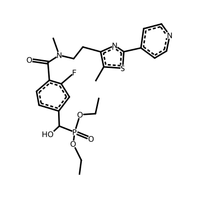 CCOP(=O)(OCC)C(O)c1ccc(C(=O)N(C)CCc2nc(-c3ccncc3)sc2C)c(F)c1